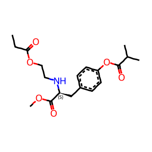 CCC(=O)OCCN[C@@H](Cc1ccc(OC(=O)C(C)C)cc1)C(=O)OC